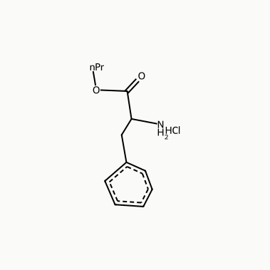 CCCOC(=O)C(N)Cc1ccccc1.Cl